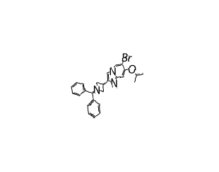 CC(C)Oc1cc2nc(C3CN(C(c4ccccc4)c4ccccc4)C3)cn2cc1Br